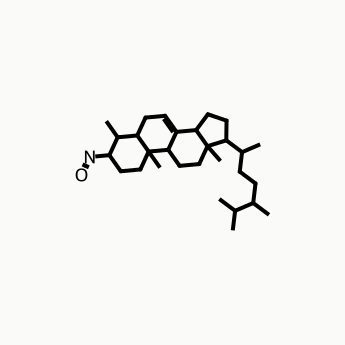 CC(C)C(C)CCC(C)C1CCC2C3=CCC4C(C)C(N=O)CCC4(C)C3CCC21C